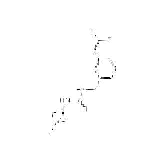 O=C(NCc1cccc(C=C(F)F)c1)NC12CC(F)(C1)C2